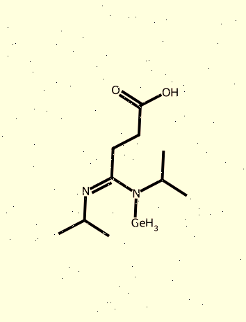 CC(C)N=C(CCC(=O)O)[N]([GeH3])C(C)C